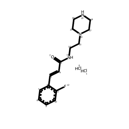 Cl.Cl.O=C(/C=C/c1ccccc1F)NCCN1CCNCC1